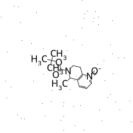 CC1c2ccc[n+]([O-])c2CCN1C(=O)OC(C)(C)C